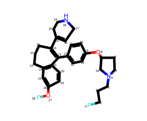 FCCCN1CCC(Oc2ccc(C3=C(C4=CCNCC4)CCCc4cc(OF)ccc43)cc2)C1